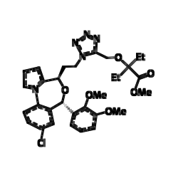 CCC(CC)(OCc1nnnn1CC[C@H]1O[C@H](c2cccc(OC)c2OC)c2cc(Cl)ccc2-n2cccc21)C(=O)OC